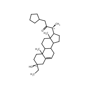 CC[C@]1(O)CCC2(C)C(=CCC3C2CCC2(C)C3CCC2[C@H](C)C(=O)CC2CCCC2)C1